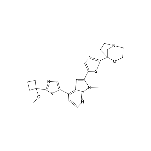 COC1(c2ncc(-c3ccnc4c3cc(-c3cnc(C56CCN(CCO5)C6)s3)n4C)s2)CCC1